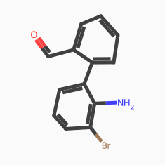 Nc1c(Br)cccc1-c1ccccc1C=O